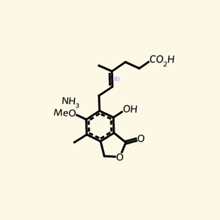 COc1c(C)c2c(c(O)c1C/C=C(\C)CCC(=O)O)C(=O)OC2.N